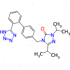 CC(C)c1nn(C(C)C)c(=O)n1Cc1ccc(-c2ccccc2-c2nnn[nH]2)cc1